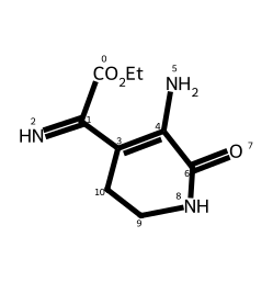 CCOC(=O)C(=N)C1=C(N)C(=O)NCC1